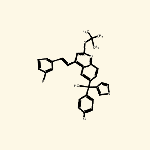 CC(C)(C)Oc1cc(C=Cc2cccc(F)c2)c2cc(C(O)(c3ccc(Cl)cc3)c3ccsc3)ccc2n1